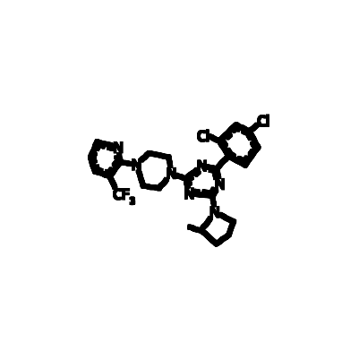 CC1CCCN1c1nc(-c2ccc(Cl)cc2Cl)nc(N2CCN(c3ncccc3C(F)(F)F)CC2)n1